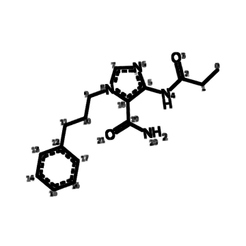 CCC(=O)Nc1ncn(CCCc2ccccc2)c1C(N)=O